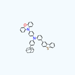 c1cc(-c2ccc3sc4ccccc4c3c2)cc(N(c2ccc(N3c4ccccc4Oc4ccccc43)cc2)c2ccc(C34CC5CC(CC(C5)C3)C4)cc2)c1